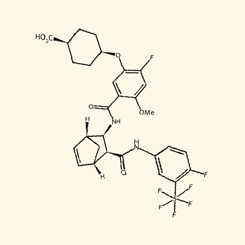 COc1cc(F)c(O[C@H]2CC[C@@H](C(=O)O)CC2)cc1C(=O)N[C@H]1[C@@H](C(=O)Nc2ccc(F)c(S(F)(F)(F)(F)F)c2)[C@@H]2C=C[C@H]1C2